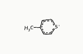 Cc1cc[s+]cc1